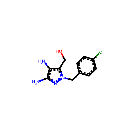 Nc1nn(Cc2ccc(Cl)cc2)c(CO)c1N